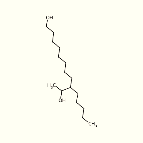 CCCCCC(CCCCCCCCO)C(C)O